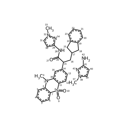 CN1c2ccccc2S(=O)(=O)c2ccc(C(CC3Cc4ccccc4C3)C(=O)Nc3ccn(C)n3)cc21.Cn1ccc(N)n1